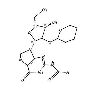 CC(C)C(=O)Nc1nc2c(ncn2[C@@H]2O[C@H](CO)[C@@H](O)C2OC2CCCCO2)c(=O)[nH]1